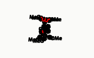 COc1ccc(C(=CN(C=C(c2ccc(OC)cc2)c2ccc(OC)cc2)c2ccc3c(c2)C2(c4ccccc4-c4ccccc42)c2cc(N(C=C(c4ccc(OC)cc4)c4ccc(OC)cc4)C=C(c4ccc(OC)cc4)c4ccc(OC)cc4)ccc2-3)c2ccc(OC)cc2)cc1